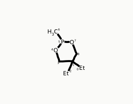 CCC1(CC)COP(C)OC1